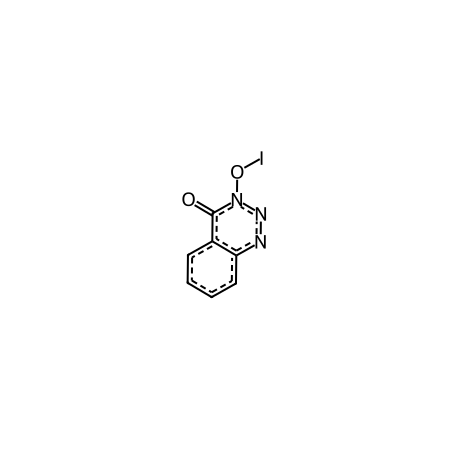 O=c1c2ccccc2nnn1OI